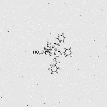 C[C@@H]1[C@@H](OCc2ccccc2)[C@H](OCc2ccccc2)[C@@H](COCc2ccccc2)O[C@H]1C(F)(F)C(=O)O